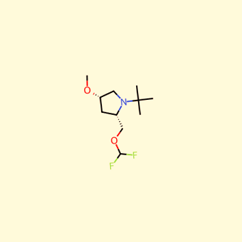 CO[C@H]1C[C@@H](COC(F)F)N(C(C)(C)C)C1